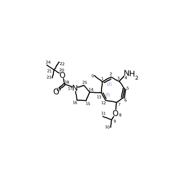 CC1=C/C(N)C#CC(OC(C)C)/C=C\1C1CCN(C(=O)OC(C)(C)C)C1